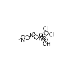 Cc1ccc2cc(-n3ccc4cc(N(CC(=O)O)S(=O)(=O)c5cc(Cl)cc(Cl)c5)ccc43)ccc2n1